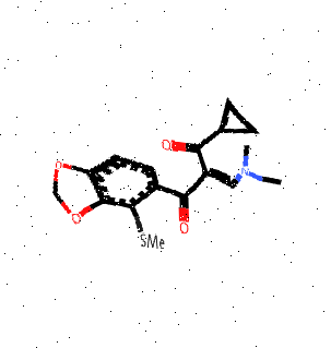 CSc1c(C(=O)/C(=C/N(C)C)C(=O)C2CC2)ccc2c1OCO2